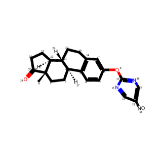 C[C@]12CC[C@@H]3c4ccc(Oc5ncc(N=O)cn5)cc4CC[C@H]3[C@@H]1CCC2=O